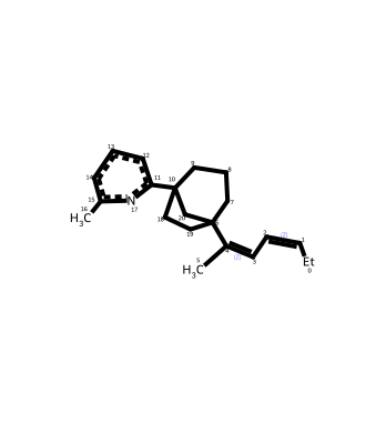 CC/C=C\C=C(\C)C12CCCC(c3cccc(C)n3)(CC1)C2